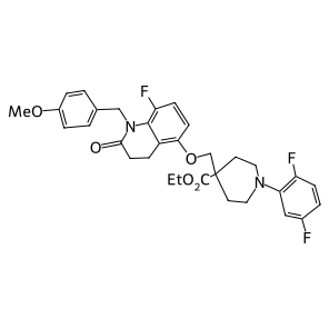 CCOC(=O)C1(COc2ccc(F)c3c2CCC(=O)N3Cc2ccc(OC)cc2)CCN(c2cc(F)ccc2F)CC1